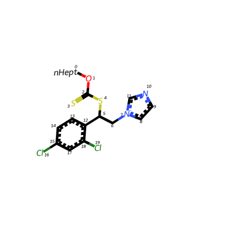 CCCCCCCOC(=S)SC(Cn1ccnc1)c1ccc(Cl)cc1Cl